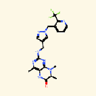 Cc1nc(NCc2cnn(Cc3cccnc3C(F)(F)F)c2)nc2c1NC(=O)C(C)N2C